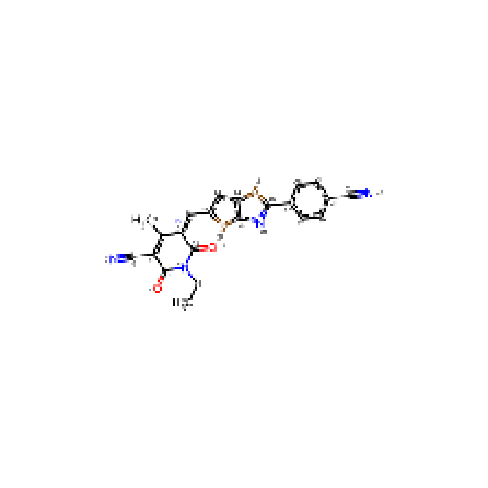 CCN1C(=O)C(C#N)=C(C)/C(=C/c2cc3sc(-c4ccc(C#N)cc4)nc3s2)C1=O